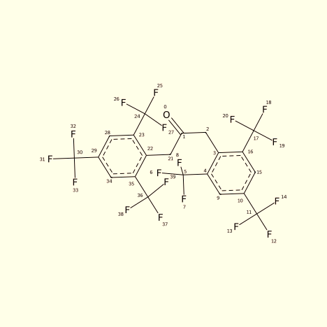 O=C(Cc1c(C(F)(F)F)cc(C(F)(F)F)cc1C(F)(F)F)Cc1c(C(F)(F)F)cc(C(F)(F)F)cc1C(F)(F)F